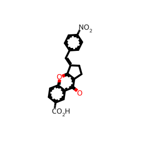 O=C(O)c1ccc2oc3c(c(=O)c2c1)CCC3=Cc1ccc([N+](=O)[O-])cc1